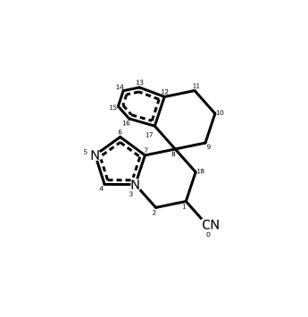 N#CC1Cn2cncc2C2(CCCc3ccccc32)C1